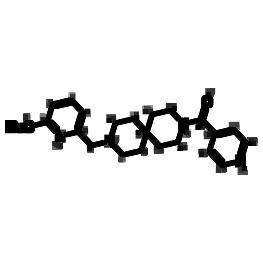 CC(C)COc1cccc(CN2CCC3(CC2)CCN(C(=O)c2ccncc2)CC3)n1